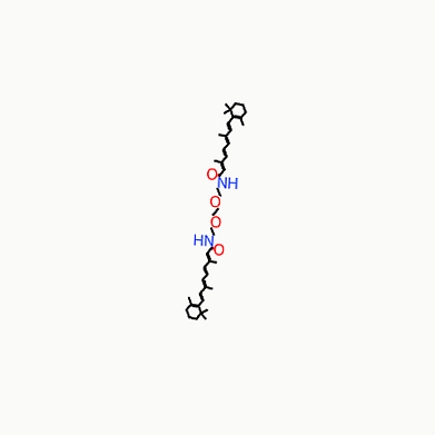 CC1=C(/C=C/C(C)=C/C=C/C(C)=C/C(=O)NCCOCCOCCNC(=O)/C=C(C)/C=C/C=C(C)/C=C/C2=C(C)CCCC2(C)C)C(C)(C)CCC1